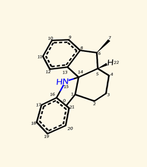 CC1CCC[C@H]2[C@H](C)c3ccccc3C12Nc1ccccc1